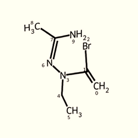 C=C(Br)N(CC)/N=C(/C)N